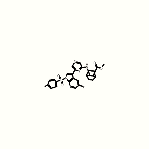 COC(=O)C1C2CCC(CC2)C1Nc1cncc(-c2cn(S(=O)(=O)c3ccc(C)cc3)c3ncc(F)cc23)n1